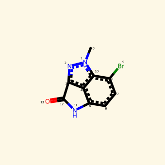 Cn1nc2c3c(ccc(Br)c31)NC2=O